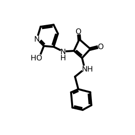 O=c1c(NCc2ccccc2)c(Nc2cccnc2O)c1=O